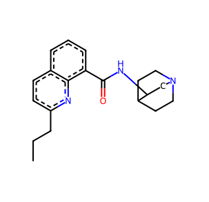 CCCc1ccc2cccc(C(=O)NC3CN4CCC3CC4)c2n1